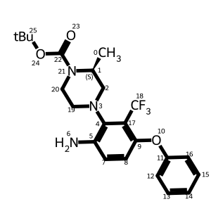 C[C@H]1CN(c2c(N)ccc(Oc3ccccc3)c2C(F)(F)F)CCN1C(=O)OC(C)(C)C